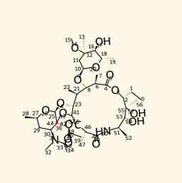 CC[C@H]1OC(=O)[C@H](C)[C@@H](O[C@H]2C[C@@](C)(OC)[C@@H](O)[C@H](C)O2)[C@H](C)[C@@H](O[C@@H]2O[C@H](C)C[C@H](N(C)C(C)=O)[C@H]2OC(C)=O)[C@](C)(OC)C[C@@H](C)C(=O)N[C@H](C)[C@@H](O)[C@]1(C)O